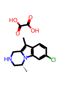 Cc1c2n(c3cc(Cl)ccc13)[C@H](C)CNC2.O=C(O)C(=O)O